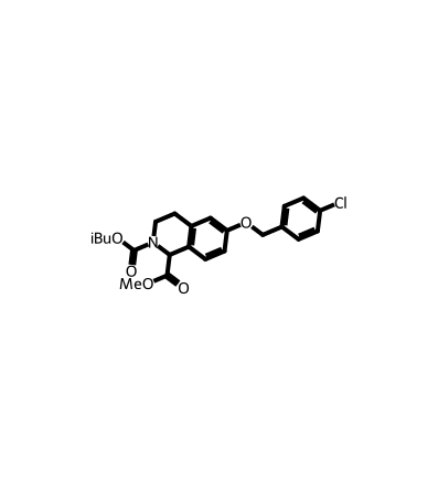 COC(=O)C1c2ccc(OCc3ccc(Cl)cc3)cc2CCN1C(=O)OCC(C)C